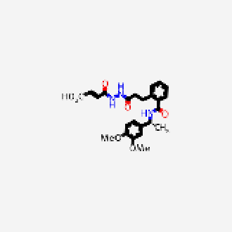 COc1ccc([C@@H](C)NC(=O)c2ccccc2CCC(=O)NNC(=O)C=CC(=O)O)cc1OC